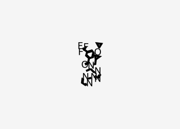 CC(c1ncnn1-c1ncccn1)N(CC1CC1)C(=O)c1cc(OC2CC2)cc(C(F)(F)F)c1